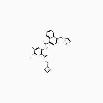 CC(=O)OOc1nc(C(=O)NCC2CCC2)c(NC(=O)c2ccc(Cn3ccnn3)c3ccccc23)cc1C